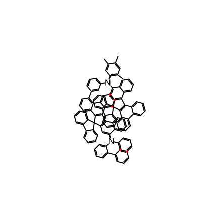 Cc1cc(C)c(N(c2cccc(-c3cccc4c5c(c6ccccc6c34)-c3c(cc(N(c4ccccc4)c4ccccc4-c4ccccc4)c4ccccc34)C53c4ccccc4-c4ccccc43)c2)c2cc3c(c4ccccc24)-c2c(c4ccccc4c4ccccc24)C32c3ccccc3-c3ccccc32)cc1C